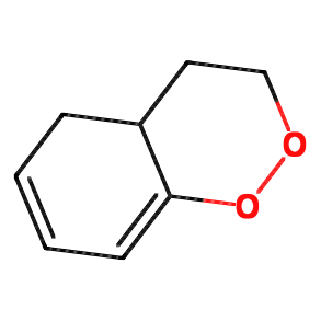 C1=CCC2CCOOC2=C1